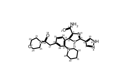 NC(=O)c1nc(-c2cn[nH]c2)sc1-c1ccc(CC(=O)N2CCOCC2)cc1N1CCCCC1